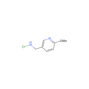 COc1ccc(CNCl)cn1